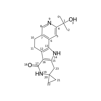 CC(C)(O)c1cc2c(cn1)CCc1c-2[nH]c2c1C(=O)NC1(CC1)C2